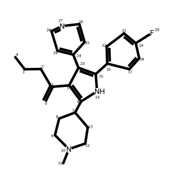 C=C(CCC)c1c(C2CCN(C)CC2)[nH]c(-c2ccc(F)cc2)c1-c1ccncc1